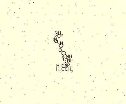 CC(C)(C)n1ccc(NC(=O)Nc2ccc(Oc3ccnc(-c4cnn(CC(N)=O)c4)c3)cc2F)n1